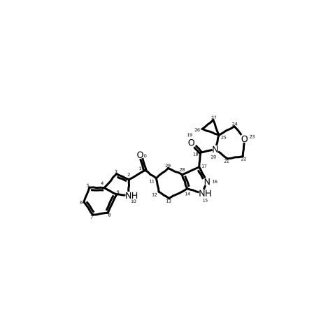 O=C(c1cc2ccccc2[nH]1)C1CCc2[nH]nc(C(=O)N3CCOCC34CC4)c2C1